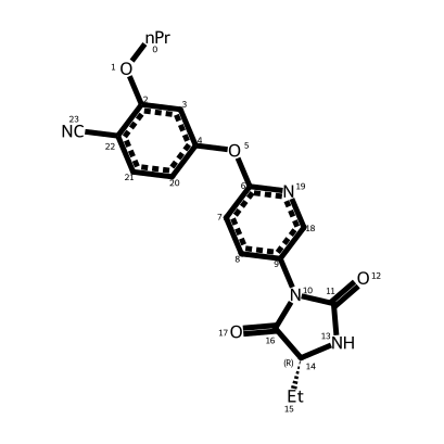 CCCOc1cc(Oc2ccc(N3C(=O)N[C@H](CC)C3=O)cn2)ccc1C#N